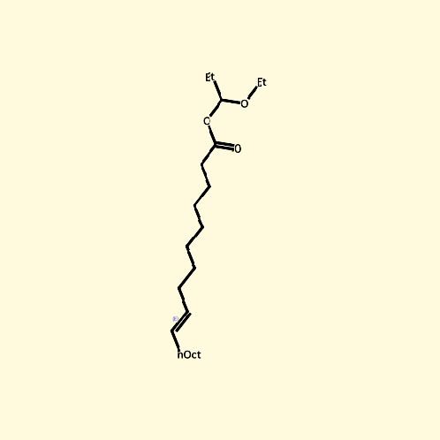 CCCCCCCC/C=C/CCCCCCCC(=O)OC(CC)OCC